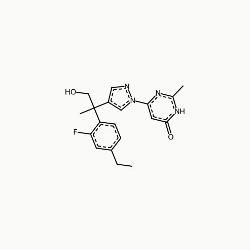 CCc1ccc(C(C)(CO)c2cnn(-c3cc(=O)[nH]c(C)n3)c2)c(F)c1